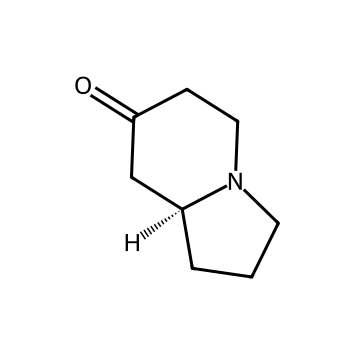 O=C1CCN2CCC[C@H]2C1